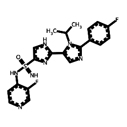 CC(C)n1c(-c2nc(S(=N)(=O)Nc3ccncc3F)c[nH]2)cnc1-c1ccc(F)cc1